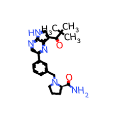 CC(C)(C)C(=O)c1c[nH]c2ncc(-c3cccc(CN4CCC[C@@H]4C(N)=O)c3)nc12